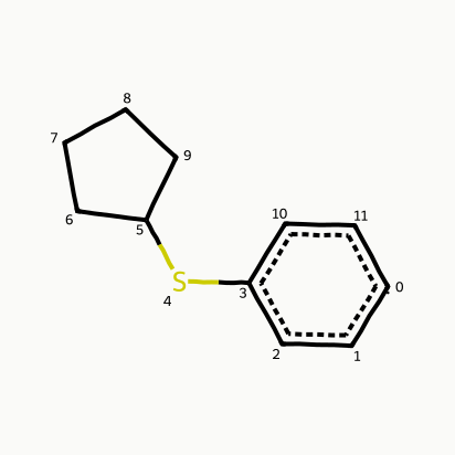 [c]1ccc(SC2CCCC2)cc1